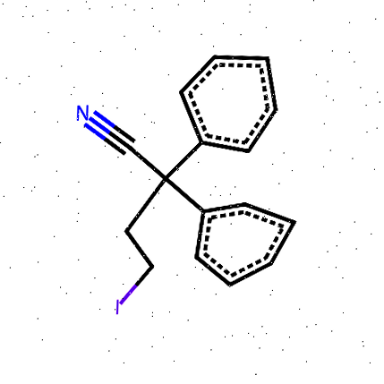 N#CC(CCI)(c1ccccc1)c1ccccc1